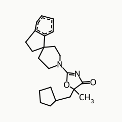 CC1(CC2CCCC2)OC(N2CCC3(CCc4ccccc43)CC2)=NC1=O